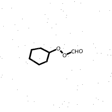 O=COOC1CCCCC1